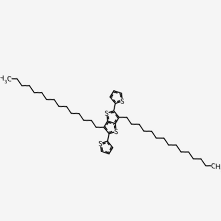 CCCCCCCCCCCCCCCc1c(-c2cccs2)sc2c(CCCCCCCCCCCCCCC)c(-c3cccs3)sc12